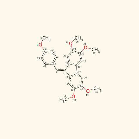 COc1ccc(C=C2c3cc(OC)c(OC)cc3-c3cc(OC)c(OC)cc32)cc1